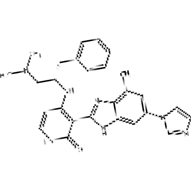 Cc1cc(-n2ccnc2)cc2[nH]c(-c3c(N[C@@H](Cc4ccccc4)CN(C)C)cc[nH]c3=O)nc12